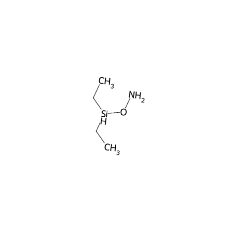 CC[SiH](CC)ON